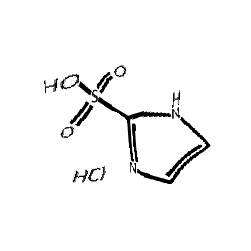 Cl.O=S(=O)(O)c1ncc[nH]1